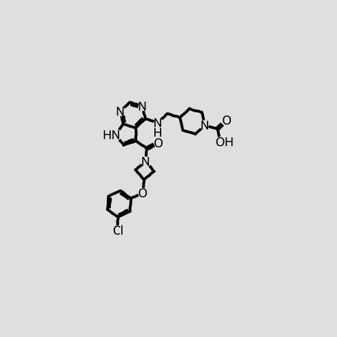 O=C(O)N1CCC(CNc2ncnc3[nH]cc(C(=O)N4CC(Oc5cccc(Cl)c5)C4)c23)CC1